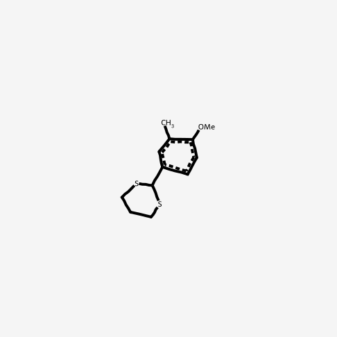 COc1ccc(C2SCCCS2)cc1C